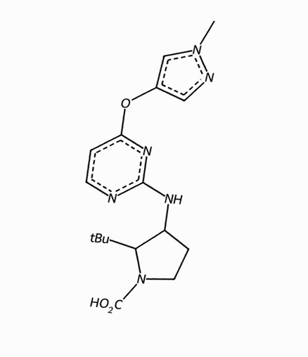 Cn1cc(Oc2ccnc(NC3CCN(C(=O)O)C3C(C)(C)C)n2)cn1